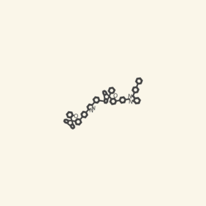 c1ccc(-c2ccc(-c3nc(-c4ccc(-c5cccc6c5Oc5ccccc5C65c6ccccc6-c6c(-c7cccc(-c8ccc(-c9ccc(-c%10cccc%11c%10Oc%10ccccc%10C%11%10c%11ccccc%11-c%11ccccc%11%10)cc9)nn8)c7)cccc65)cc4)nc4ccccc34)cc2)cc1